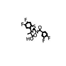 CC(C(=O)O)n1c(=NC(=O)c2ccc(F)c(F)c2)sc2cc(F)c(F)cc21